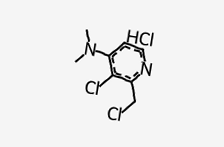 CN(C)c1ccnc(CCl)c1Cl.Cl